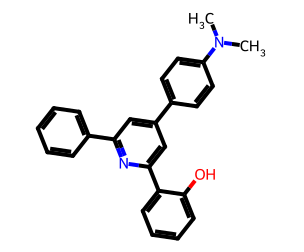 CN(C)c1ccc(-c2cc(-c3ccccc3)nc(-c3ccccc3O)c2)cc1